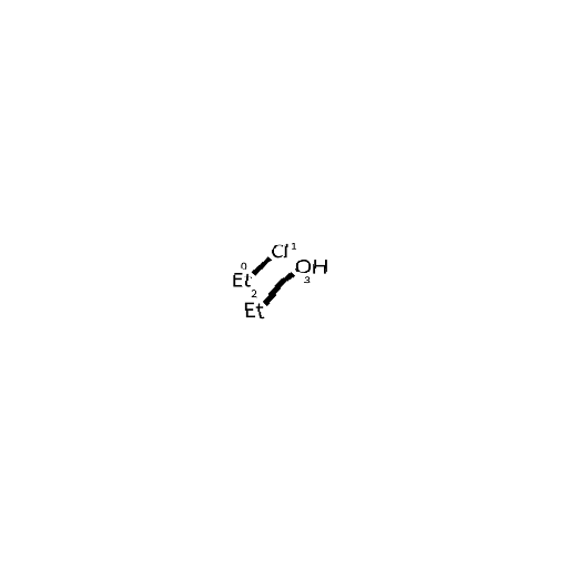 CCCl.CCO